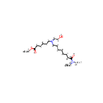 CCCCCCCCCOC(=O)CCCCCN(CCO)CCCCCCCC(=O)N(CCCCCCCC)CCCCCCCCC